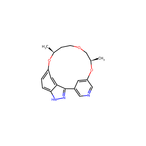 C[C@@H]1COCC[C@H](C)Oc2ccc3[nH]nc(c3c2)-c2cncc(c2)O1